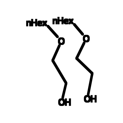 CCCCCCOCCO.CCCCCCOCCO